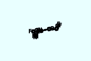 OC1(C(F)(F)c2ccc(C#Cc3ccc(OCc4cccc(OC(F)(F)F)c4)cc3)cn2)Cn2nnnc2-c2cc(F)ccc21